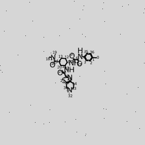 Cc1ccc(NC(=O)C(=O)N[C@H]2CC[C@H](C(=O)N(C)C)C[C@H]2NC(=O)c2nc3c(s2)CN(C)CC3)cc1